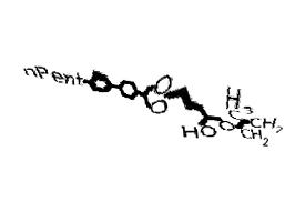 C=C(C)C(=C)OCC(CO)CCCC1OCC(C2CCC(c3ccc(CCCCC)cc3)CC2)CO1